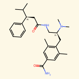 Cc1cc(C(N)=O)cc(C)c1C[C@@H](CNC(=O)C[C@@H](c1ccccc1)C(C)C)N(C)C